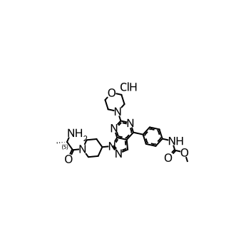 COC(=O)Nc1ccc(-c2nc(N3CCOCC3)nc3c2cnn3C2CCN(C(=O)[C@H](C)N)CC2)cc1.Cl